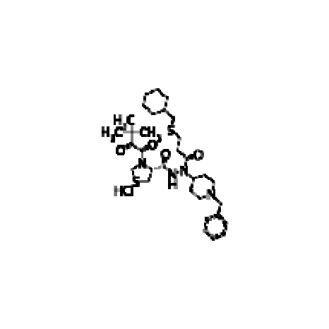 CC(C)(C)C(=O)C(=O)N1CSC[C@H]1C(=O)NN(C(=O)CCSCC1CCCCC1)C1CCN(Cc2ccccc2)CC1.Cl